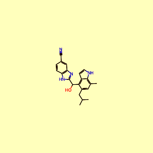 Cc1cc(CC(C)C)c(C(O)c2nc3cc(C#N)ccc3[nH]2)c2cc[nH]c12